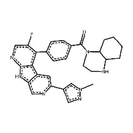 Cn1cc(-c2cc3c(cn2)[nH]c2ncc(F)c(-c4ccc(C(=O)N5CCNC6CCCCC65)cc4)c23)cn1